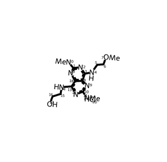 CNc1nc(NCCOC)c2nc(NC)nc(NCCO)c2n1.Cl